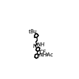 CC(=O)Nc1ccccc1-c1cc2nc(/C=C/c3ccc(C(C)(C)C)cc3)[nH]c2cc1C(F)(F)F